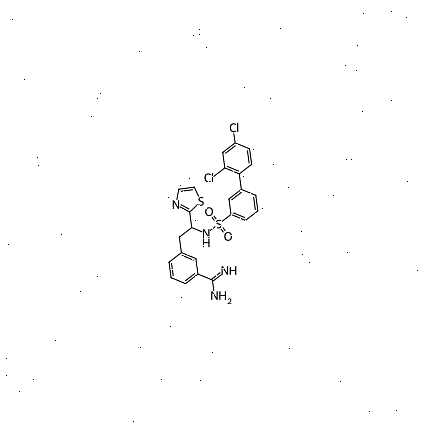 N=C(N)c1cccc(CC(NS(=O)(=O)c2cccc(-c3ccc(Cl)cc3Cl)c2)c2nccs2)c1